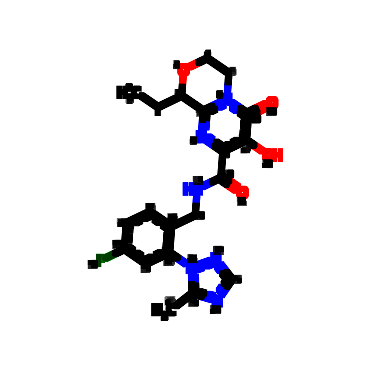 CCC1OCCn2c1nc(C(=O)NCc1ccc(F)cc1-n1ncnc1C)c(O)c2=O